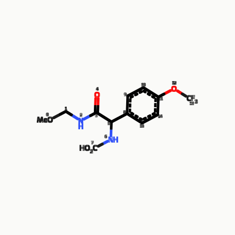 COCNC(=O)C(NC(=O)O)c1ccc(OC(F)(F)F)cc1